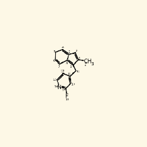 CC1=CC2=CCC=CC2=C1Cc1ccnc(F)c1